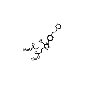 COC(=O)CC[C@@H](CC(=O)OC(C)(C)C)c1nnn(-c2ccc(CCC3CCCC3)cc2)c1C1CC1